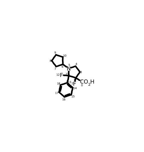 O=C(O)C1(F)CCN(C2CCCC2)C1(F)c1ccccc1